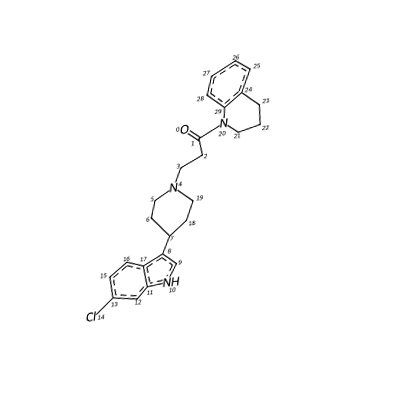 O=C(CCN1CCC(c2c[nH]c3cc(Cl)ccc23)CC1)N1CCCc2ccccc21